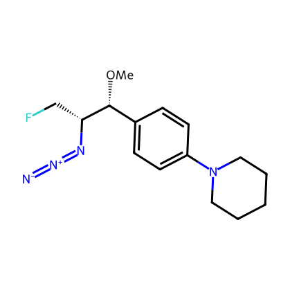 CO[C@H](c1ccc(N2CCCCC2)cc1)[C@@H](CF)N=[N+]=[N-]